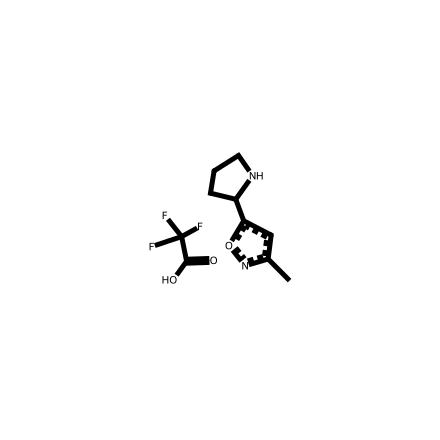 Cc1cc(C2CCCN2)on1.O=C(O)C(F)(F)F